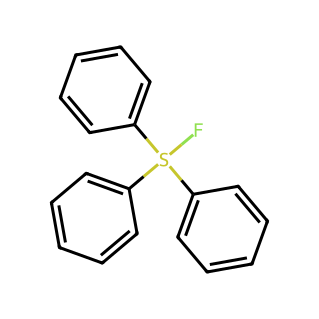 FS(c1ccccc1)(c1ccccc1)c1ccccc1